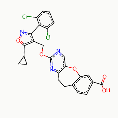 O=C(O)c1ccc2c(c1)Oc1cnc(OCc3c(-c4c(Cl)cccc4Cl)noc3C3CC3)nc1CC2